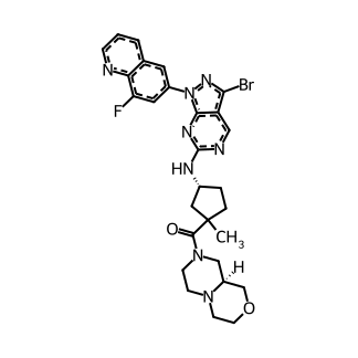 CC1(C(=O)N2CCN3CCOC[C@@H]3C2)CC[C@@H](Nc2ncc3c(Br)nn(-c4cc(F)c5ncccc5c4)c3n2)C1